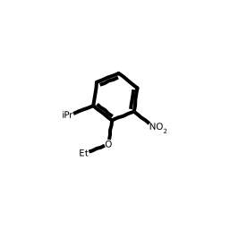 [CH2]C(C)c1cccc([N+](=O)[O-])c1OCC